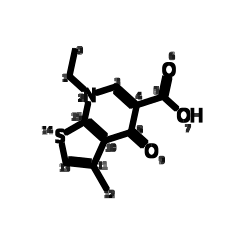 CCn1cc(C(=O)O)c(=O)c2c(C)csc21